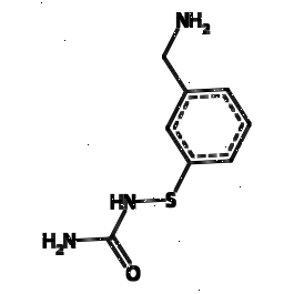 NCc1cccc(SNC(N)=O)c1